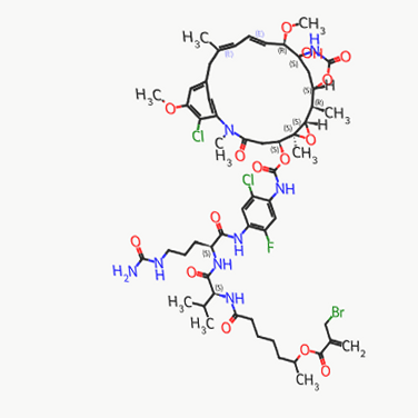 C=C(CBr)C(=O)OC(C)CCCCC(=O)N[C@H](C(=O)N[C@@H](CCCNC(N)=O)C(=O)Nc1cc(Cl)c(NC(=O)O[C@H]2CC(=O)N(C)c3cc(cc(OC)c3Cl)C/C(C)=C/C=C/[C@@H](OC)[C@@]3(O)C[C@H](OC(=O)N3)[C@@H](C)[C@@H]3O[C@@]23C)cc1F)C(C)C